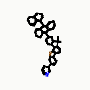 CC1(C)c2cc(-c3c4ccccc4c(-c4cccc5ccccc45)c4ccccc34)ccc2-c2c1ccc1c2sc2cc(-c3cccnc3)ccc21